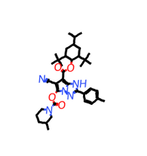 Cc1ccc(-c2nn3c(OC(=O)N4CCCC(C)C4)c(C#N)c(C(=O)OC4C(C(C)(C)C)CC(C(C)C)CC4C(C)(C)C)c3[nH]2)cc1